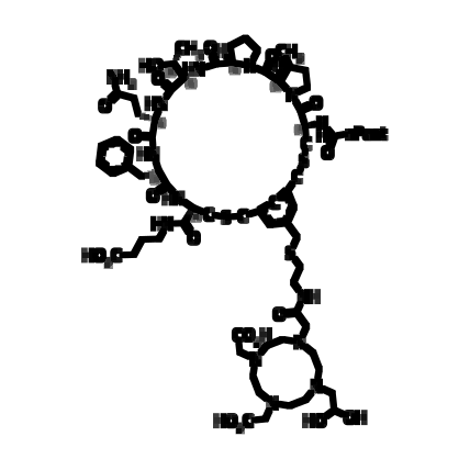 C=C1CCN2C(=O)[C@@H](NC(=O)CCCCC)CSCc3cc(CSCCNC(=O)CN4CCN(CC(=O)O)CCN(CC(=O)O)CCN(CC(O)O)CC4)cc(c3)CSC[C@@H](C(=O)NCCCC(=O)O)NC(=O)[C@H](Cc3ccccc3)NC(=O)[C@H](CCC(N)=O)NC(=O)[C@H]([C@@H](C)O)NC(=O)[C@@H]3CCCN3C(=O)[C@H]12